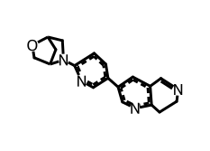 C1=NCCc2ncc(-c3ccc(N4CC5CC4CO5)nc3)cc21